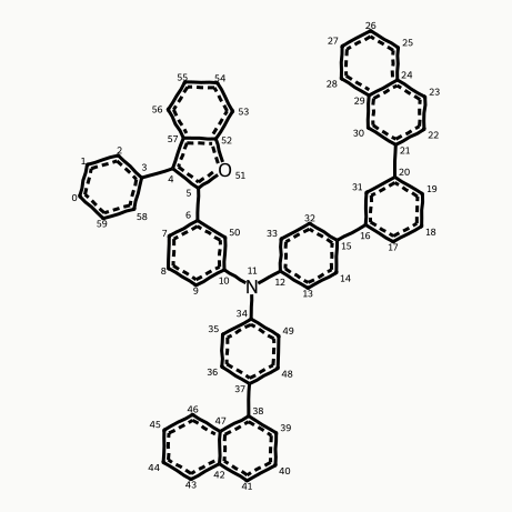 c1ccc(-c2c(-c3cccc(N(c4ccc(-c5cccc(-c6ccc7ccccc7c6)c5)cc4)c4ccc(-c5cccc6ccccc56)cc4)c3)oc3ccccc23)cc1